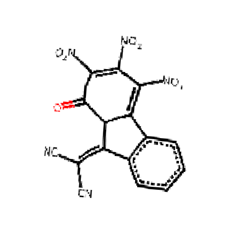 N#CC(C#N)=C1c2ccccc2C2=C([N+](=O)[O-])C([N+](=O)[O-])=C([N+](=O)[O-])C(=O)C12